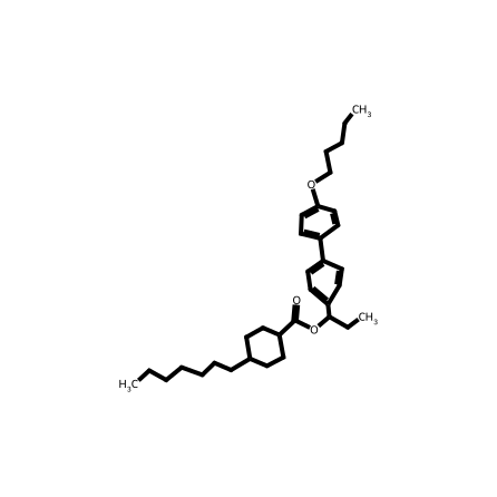 CCCCCCCC1CCC(C(=O)OC(CC)c2ccc(-c3ccc(OCCCCC)cc3)cc2)CC1